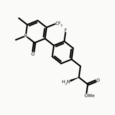 COC(=O)[C@@H](N)Cc1ccc(-c2c(C(F)(F)F)cc(C)n(C)c2=O)c(F)c1